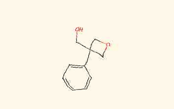 OCC1(c2ccccc2)COC1